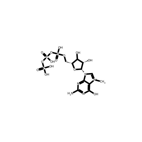 C[n+]1cn([C@@H]2O[C@H](COP(=O)(O)OP(=O)(O)OP(=O)(O)O)C(O)[C@@H]2O)c2nc(N)nc(O)c21